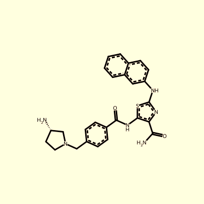 NC(=O)c1nc(Nc2ccc3ccccc3c2)sc1NC(=O)c1ccc(CN2CC[C@H](N)C2)cc1